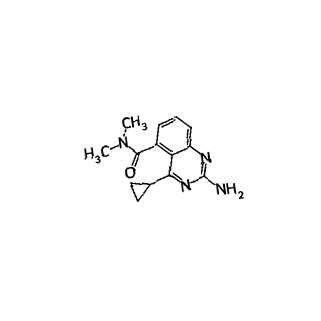 CN(C)C(=O)c1cccc2nc(N)nc(C3CC3)c12